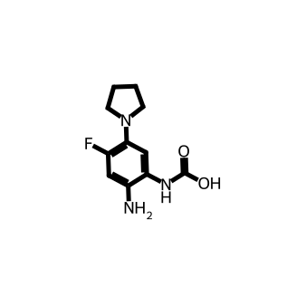 Nc1cc(F)c(N2CCCC2)cc1NC(=O)O